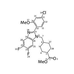 COC(=O)C1CCC(Cn2c(-c3ccc(Cl)cc3OC)nc3cc(F)c(F)cc32)CC1